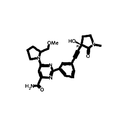 COCC1CCCN1c1cc(C(N)=O)nc(-c2cccc(C#C[C@]3(O)CCN(C)C3=O)c2)n1